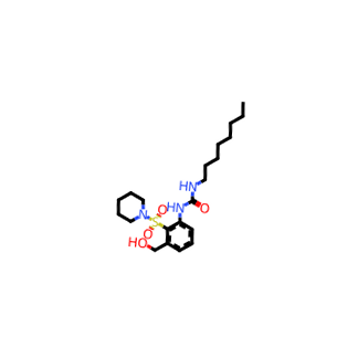 CCCCCCCCNC(=O)Nc1cccc(CO)c1S(=O)(=O)N1CCCCC1